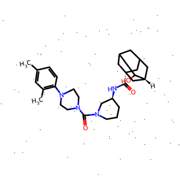 Cc1ccc(N2CCN(C(=O)N3CCC[C@H](NC(=O)[C@@]45CC6CC(C4)C(O)[C@H](C6)C5)C3)CC2)c(C)c1